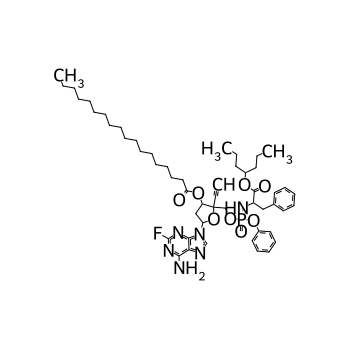 C#CC1(CO[P@@](=O)(NC(Cc2ccccc2)C(=O)OC(CCC)CCC)Oc2ccccc2)OC(n2cnc3c(N)nc(F)nc32)CC1OC(=O)CCCCCCCCCCCCCCCCC